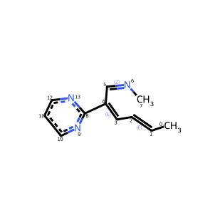 C/C=C/C=C(\C=N/C)c1ncccn1